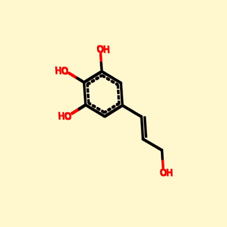 OC/C=C/c1cc(O)c(O)c(O)c1